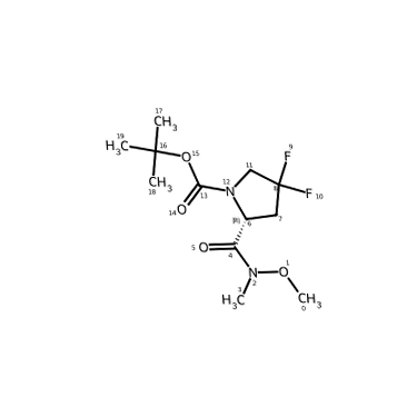 CON(C)C(=O)[C@H]1CC(F)(F)CN1C(=O)OC(C)(C)C